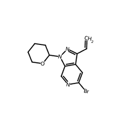 C=Cc1nn(C2CCCCO2)c2cnc(Br)cc12